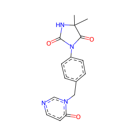 CC1(C)NC(=O)N(c2ccc(Cn3cnccc3=O)cc2)C1=O